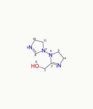 OCC1=NCCN1N1C=NCC1